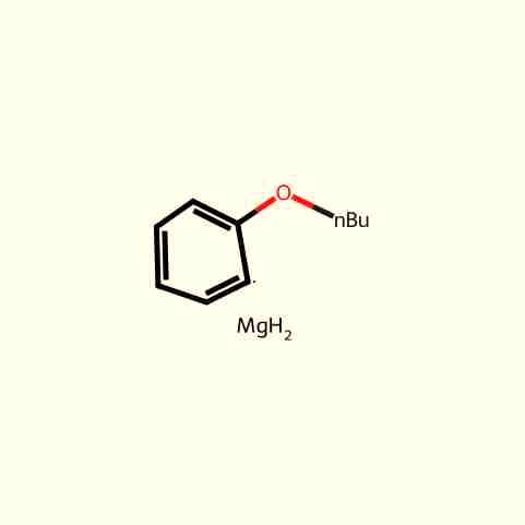 CCCCOc1[c]cccc1.[MgH2]